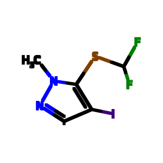 Cn1n[c]c(I)c1SC(F)F